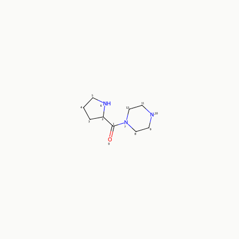 O=C(C1CCCN1)N1CC[N]CC1